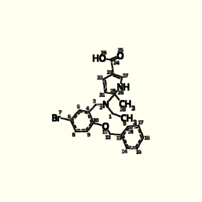 CCN(Cc1cc(Br)ccc1OCc1ccccc1)C1(C)C=CC(C(=O)O)=CN1